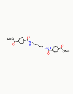 COC(=O)c1ccc(C(=O)NCCCCCCNC(=O)c2ccc(C(=O)OC)cc2)cc1